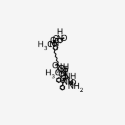 C[C@H]1CN(C(=O)CCCCCCc2ccc3c(c2)n(C)c(=O)n3C2CCC(=O)NC2=O)CC[C@H]2CC[C@@H](C(=O)N[C@H](CCC(N)=O)C(=O)NC(c3ccccc3)c3ccccc3)N2C1=O